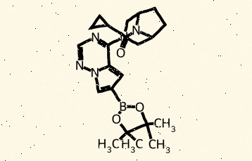 CC1(C)OB(c2cc3c(N4CC5CCC(C4)N5C(=O)C4CC4)ncnn3c2)OC1(C)C